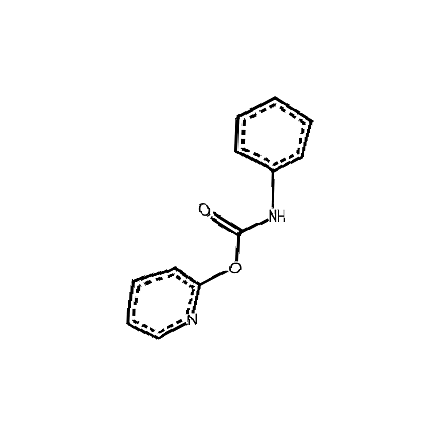 O=C(Nc1ccccc1)Oc1ccccn1